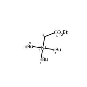 CCCC[N+](CCCC)(CCCC)CC(=O)OCC